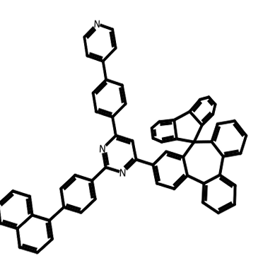 c1ccc2c(c1)-c1ccccc1C1(c3cc(-c4cc(-c5ccc(-c6ccncc6)cc5)nc(-c5ccc(-c6cccc7ccccc67)cc5)n4)ccc3-2)c2ccccc2-c2ccccc21